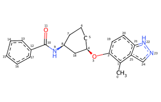 Cc1c(O[C@@H]2CCC[C@H](NC(=O)c3ccccc3)C2)ccc2[nH]ncc12